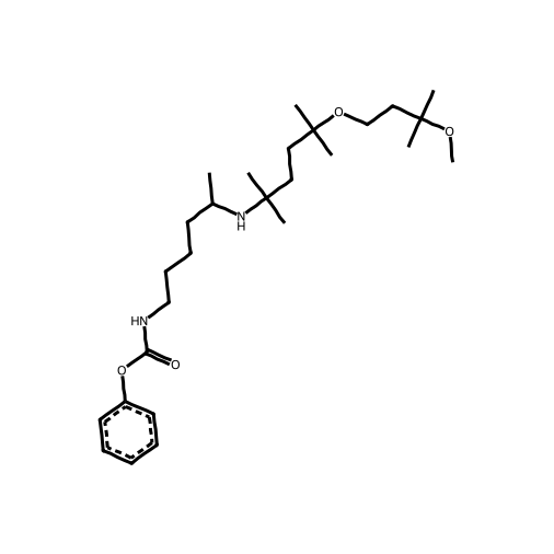 COC(C)(C)CCOC(C)(C)CCC(C)(C)NC(C)CCCCNC(=O)Oc1ccccc1